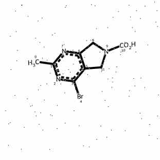 Cc1nc(Br)c2c(n1)CN(C(=O)O)C2